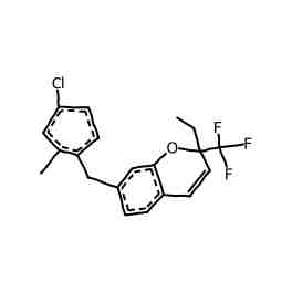 CCC1(C(F)(F)F)C=Cc2ccc(Cc3ccc(Cl)cc3C)cc2O1